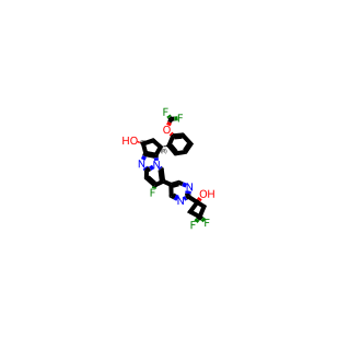 O[C@@H]1C[C@H](c2ccccc2OC(F)F)c2c1nc1cc(F)c(-c3cnc(C4(O)CC(F)(F)C4)nc3)cn21